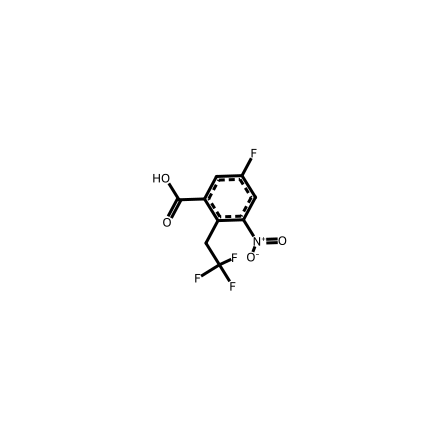 O=C(O)c1cc(F)cc([N+](=O)[O-])c1CC(F)(F)F